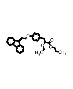 CCCOC(=O)C(Cc1ccc(OCC=C2c3ccccc3-c3ccccc32)cc1)OCC